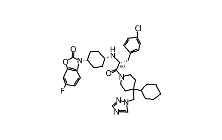 O=C([C@@H](Cc1ccc(Cl)cc1)N[C@H]1CC[C@@H](n2c(=O)oc3cc(F)ccc32)CC1)N1CCC(Cn2cncn2)(C2CCCCC2)CC1